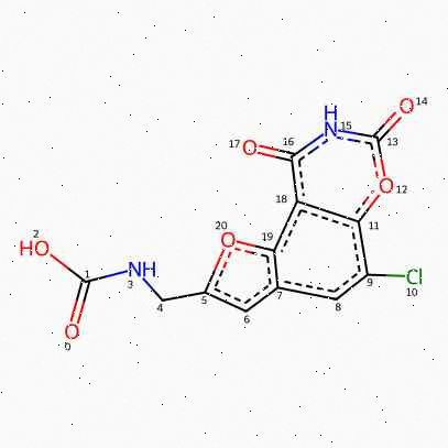 O=C(O)NCc1cc2cc(Cl)c3oc(=O)[nH]c(=O)c3c2o1